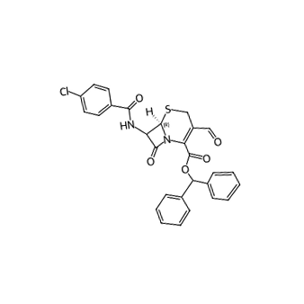 O=CC1=C(C(=O)OC(c2ccccc2)c2ccccc2)N2C(=O)C(NC(=O)c3ccc(Cl)cc3)[C@H]2SC1